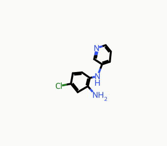 Nc1cc(Cl)ccc1Nc1cccnc1